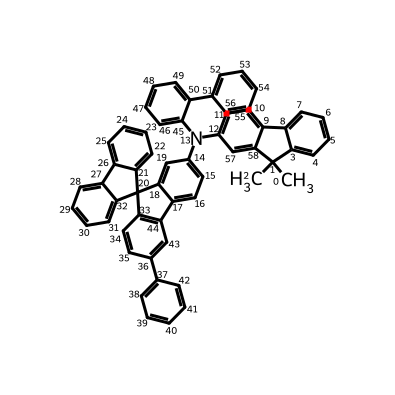 CC1(C)c2ccccc2-c2ccc(N(c3ccc4c(c3)C3(c5ccccc5-c5ccccc53)c3ccc(-c5ccccc5)cc3-4)c3ccccc3-c3ccccc3)cc21